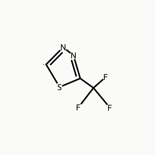 FC(F)(F)c1nn[c]s1